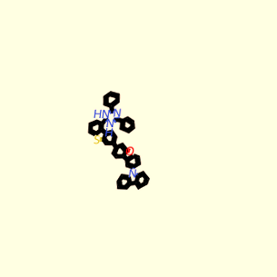 C1=C(c2ccc3c(c2)sc2cccc(C4NC(c5ccccc5)=NC(c5ccccc5)N4)c23)C=C2Oc3ccc(-n4c5ccccc5c5ccccc54)cc3C2C1